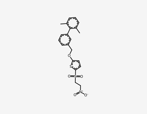 Cc1cccc(C)c1-c1cccc(COc2ccc(S(=O)(=O)CC[N+](=O)[O-])s2)c1